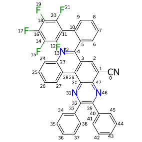 N#Cc1cc2c(-c3ccccc3-c3c(F)c(F)c(F)c(F)c3F)nc3ccccc3c2c2nc(-c3ccccc3)c(-c3ccccc3)nc12